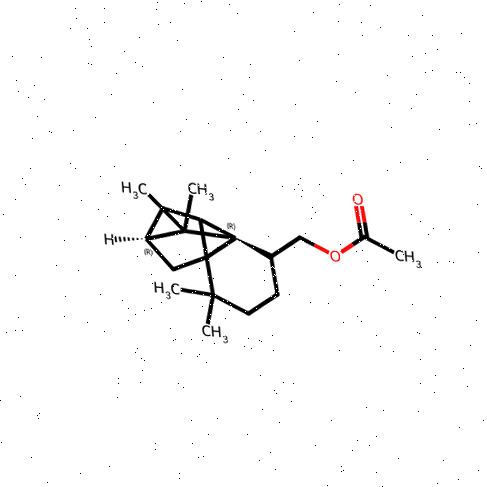 CC(=O)OCC1CCC(C)(C)C23C[C@H]4CC2[C@]13C4(C)C